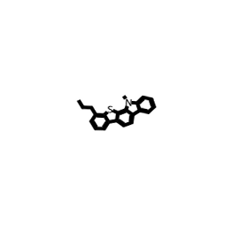 CCCc1cccc2c1sc1c2ccc2c3ccccc3n(C)c21